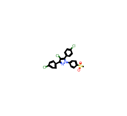 CS(=O)(=O)c1ccc(-n2nc(-c3ccc(Cl)cc3)c(Cl)c2-c2ccc(Cl)cc2)cc1